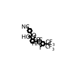 N#Cc1ccc(C(=O)N(O)c2cccc(C(=O)Nc3c(I)cc(C(F)(C(F)(F)F)C(F)(F)F)cc3C(F)(F)F)c2F)cc1